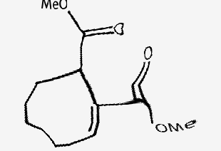 COC(=O)C1=CCCCC1C(=O)OC